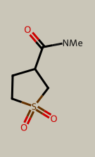 CNC(=O)C1CCS(=O)(=O)C1